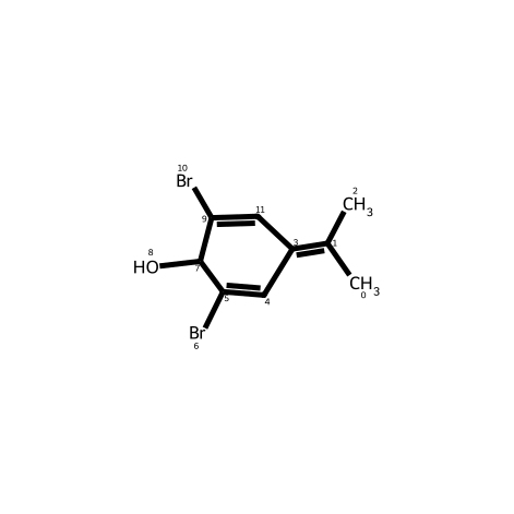 CC(C)=C1C=C(Br)C(O)C(Br)=C1